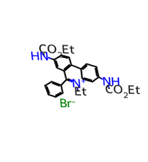 CCOC(=O)Nc1ccc2c(c1)c(-c1ccccc1)[n+](CC)c1cc(NC(=O)OCC)ccc21.[Br-]